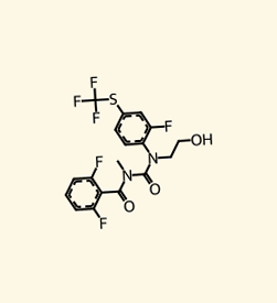 CN(C(=O)c1c(F)cccc1F)C(=O)N(CCO)c1ccc(SC(F)(F)F)cc1F